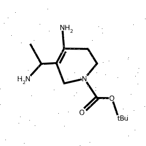 CC(N)C1=C(N)CCN(C(=O)OC(C)(C)C)C1